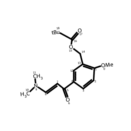 COc1ccc(C(=O)C=CN(C)C)cc1COC(=O)C(C)(C)C